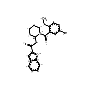 COc1ccc(Br)cc1C(=O)N1CCCCC1CC(=O)c1cc2ccccc2o1